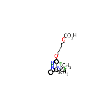 C[C@@H]1Cc2c([nH]c3ccccc23)[C@@H](c2c(F)cc(OCCCCCCCOCC(=O)O)cc2F)N1CC(C)(C)F